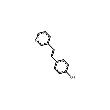 Oc1ccc(/C=C/c2cc[c]nc2)cc1